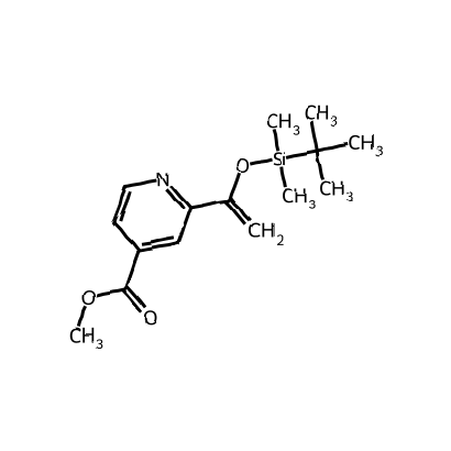 C=C(O[Si](C)(C)C(C)(C)C)c1cc(C(=O)OC)ccn1